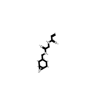 C=CC(=O)OCC(=O)OCC1CCC2OC2C1